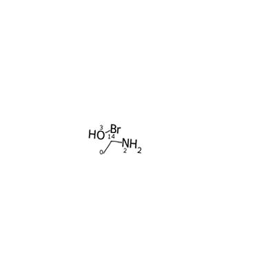 CCN.OBr